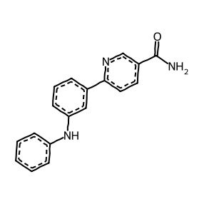 NC(=O)c1ccc(-c2cccc(Nc3ccccc3)c2)nc1